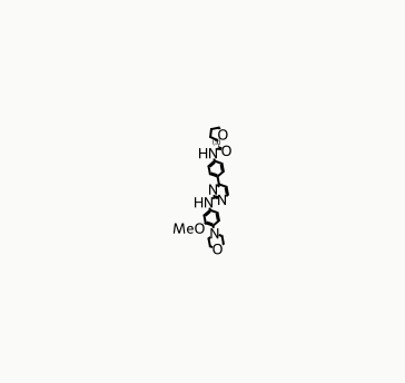 COc1cc(Nc2nccc(-c3ccc(NC(=O)[C@@H]4CCCO4)cc3)n2)ccc1N1CCOCC1